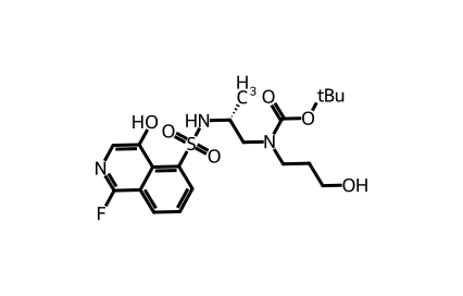 C[C@H](CN(CCCO)C(=O)OC(C)(C)C)NS(=O)(=O)c1cccc2c(F)ncc(O)c12